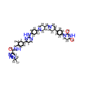 Cc1cc(-c2ccnc(Nc3ccc(N4CCC(CN5CCC(c6ccc(N7CCC(=O)NC7=O)cc6)CC5)CC4)cc3)n2)ccc1CNC(=O)c1cn(C(C)(C)C)nn1